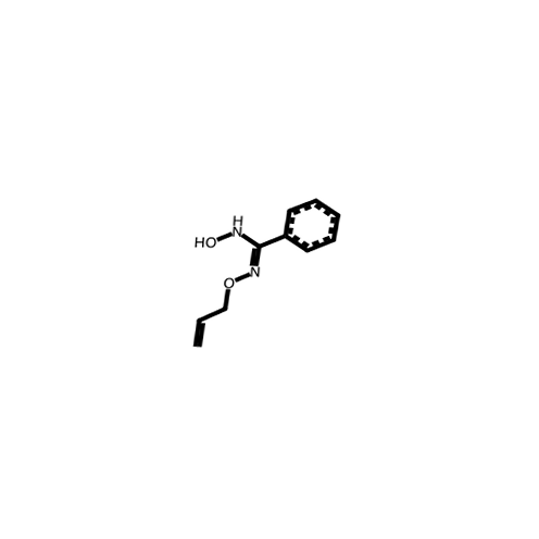 C=CCON=C(NO)c1ccccc1